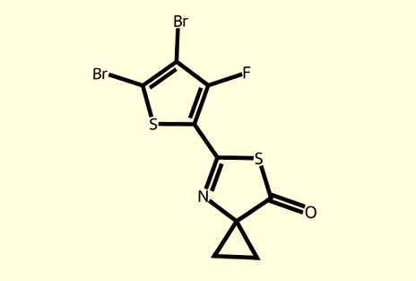 O=C1SC(c2sc(Br)c(Br)c2F)=NC12CC2